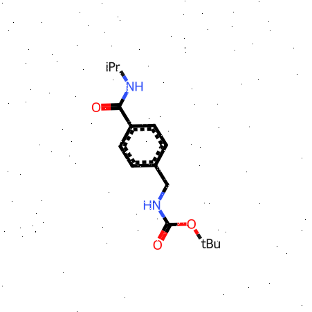 CC(C)NC(=O)c1ccc(CNC(=O)OC(C)(C)C)cc1